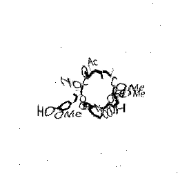 CO[C@H]1C[C@@H](C)C/C(C)=C/[C@@H](CC(C)=O)C(=O)C[C@H](O)[C@@H](C)[C@@H](/C(C)=C/[C@@H]2CC[C@@H](O)[C@H](OC)C2)OC(=O)[C@@H]2CCCCN2C(=O)C(=O)[C@]2(O)O[C@H]1[C@@H](OC)C[C@H]2C